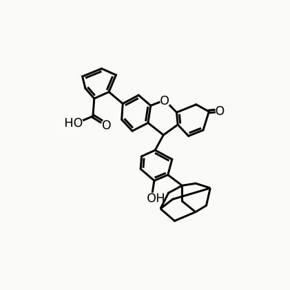 O=C1C=CC2=C(C1)Oc1cc(-c3ccccc3C(=O)O)ccc1C2c1ccc(O)c(C23CC4CC(CC(C4)C2)C3)c1